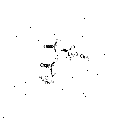 O.O.O.O=[N+]([O-])[O-].O=[N+]([O-])[O-].O=[N+]([O-])[O-].[Tb+3]